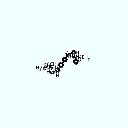 COC(=O)N[C@H](C(=O)N1CCC[C@H]1c1nc(-c2ccc(-c3ccc(-c4c[nH]c(C5C=CCN5C(=O)[C@H](NC(=O)OC)c5ccccc5)n4)cc3)cc2)c[nH]1)C(C)C